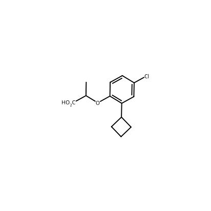 CC(Oc1ccc(Cl)cc1C1CCC1)C(=O)O